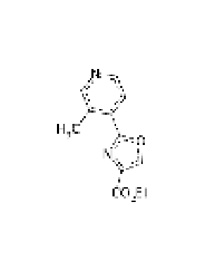 CCOC(=O)c1coc(-c2ccncc2C)n1